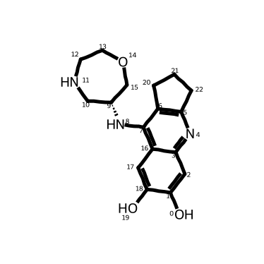 Oc1cc2nc3c(c(N[C@@H]4CNCCOC4)c2cc1O)CCC3